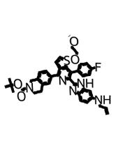 C=CCNc1ccc2nc(-c3nc(-c4ccc5c(c4)CCN(C(=O)OC(C)(C)C)C5)c4ccsc4c3-c3ccc(F)cc3OCCOC)[nH]c2c1